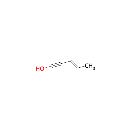 CC=CC#CO